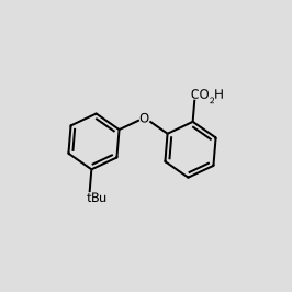 CC(C)(C)c1cccc(Oc2ccccc2C(=O)O)c1